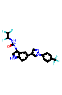 O=C(Nc1c[nH]c2ccc(-c3cnn(-c4ccc(C(F)(F)F)cc4)c3)cc12)NC(F)C(F)F